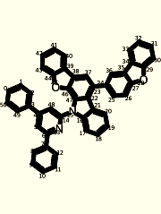 c1ccc(-c2cc(-c3ccccc3)nc(-n3c4ccccc4c4c(-c5ccc6oc7ccccc7c6c5)cc5c6ccccc6oc5c43)c2)cc1